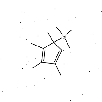 CC1=[C]C(C)([Si](C)(C)C)C(C)=C1C